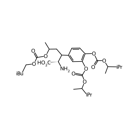 CCC(C)COC(=O)OC(C)CC(c1ccc(OC(=O)OC(C)C(C)C)c(OC(=O)OC(C)C(C)C)c1)[C@H](N)C(=O)O